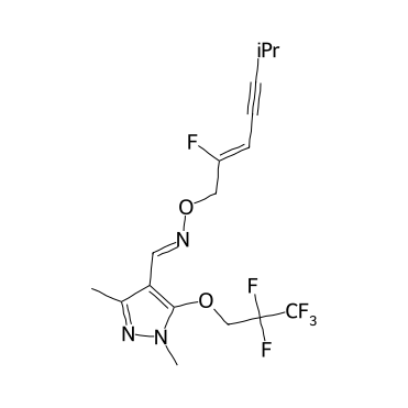 Cc1nn(C)c(OCC(F)(F)C(F)(F)F)c1C=NOCC(F)=CC#CC(C)C